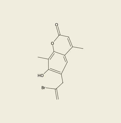 C=C(Br)Cc1cc2c(C)cc(=O)oc2c(C)c1O